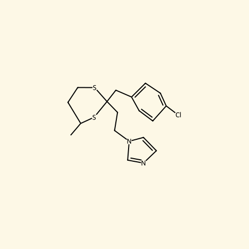 CC1CCSC(CCn2ccnc2)(Cc2ccc(Cl)cc2)S1